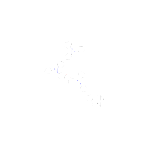 N#Cc1ccc(-c2ccc(-n3c4ccccc4c4c5oc6c(ccc7c6c6cc(-c8ccc9c(c8)c8ccccc8n9-c8ccccc8)ccc6n7-c6ccccc6)c5ccc43)cc2)cc1C#N